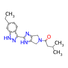 CCc1ccc2c(-c3nc4c([nH]3)CN(C(=O)CC(C)C)C4)n[nH]c2c1